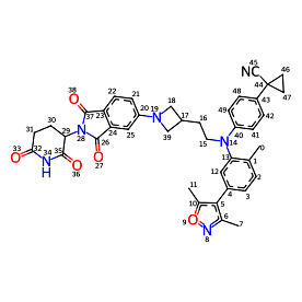 Cc1ccc(-c2c(C)noc2C)cc1N(CCC1CN(c2ccc3c(c2)C(=O)N(C2CCC(=O)NC2=O)C3=O)C1)c1ccc(C2(C#N)CC2)cc1